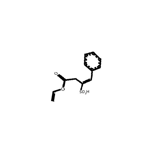 C=COC(=O)CC(=Cc1ccccc1)S(=O)(=O)O